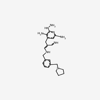 N=C/C(=C\NCc1cccc(CN2CCCC2)c1)Cc1cc(N)nc(NN)c1N